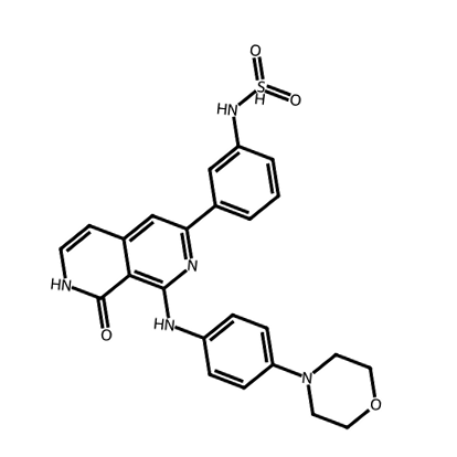 O=c1[nH]ccc2cc(-c3cccc(N[SH](=O)=O)c3)nc(Nc3ccc(N4CCOCC4)cc3)c12